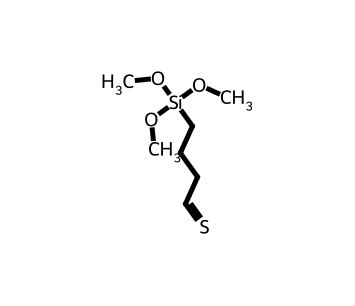 CO[Si](CCCC=S)(OC)OC